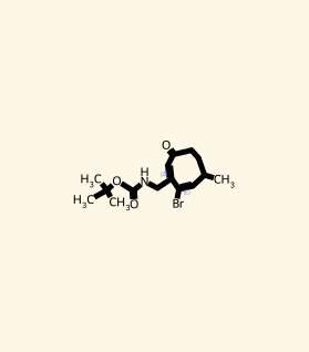 CC1/C=C(Br)\C(CNC(=O)OC(C)(C)C)=C/C(=O)CC1